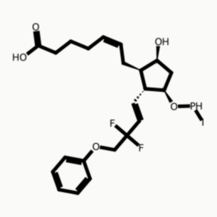 O=C(O)CCC/C=C\C[C@@H]1[C@@H](/C=C/C(F)(F)COc2ccccc2)[C@H](OPI)C[C@@H]1O